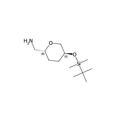 CC(C)(C)[Si](C)(C)O[C@H]1CC[C@H](CN)OC1